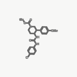 COc1ccc(C2CN(C(=O)OC(C)(C)C)CCC2NC(=O)Nc2ccc(Cl)cc2)cc1